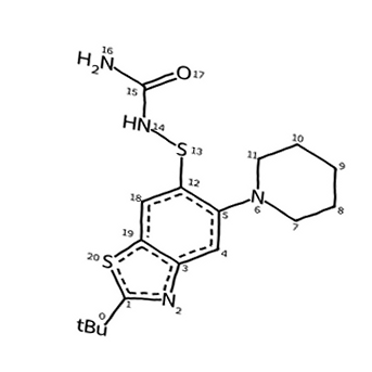 CC(C)(C)c1nc2cc(N3CCCCC3)c(SNC(N)=O)cc2s1